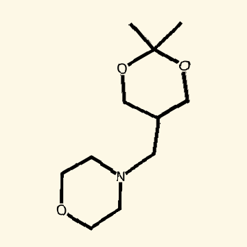 CC1(C)OCC(CN2CCOCC2)CO1